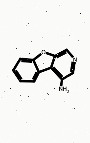 Nc1cncc2oc3ccccc3c12